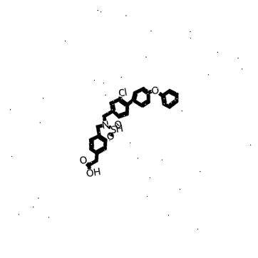 O=C(O)Cc1ccc(CN(Cc2ccc(-c3ccc(Oc4ccccc4)cc3)c(Cl)c2)[SH](=O)=O)cc1